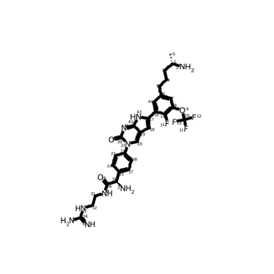 C[C@H](N)CCCc1cc(OC(F)(F)F)c(F)c(-c2cc3cn(-c4ccc([C@@H](N)C(=O)NCCNC(=N)N)cc4)c(=O)nc3[nH]2)c1